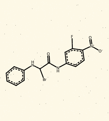 O=C(Nc1ccc([N+](=O)[O-])c(F)c1)C(Br)Nc1ccccc1